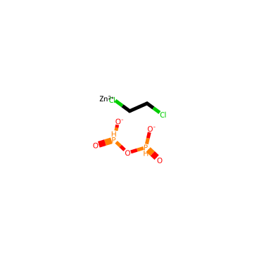 ClCCCl.O=[PH]([O-])O[PH](=O)[O-].[Zn+2]